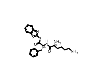 NCCCC[C@@H](N)C(=O)N[C@H](Cc1ccccc1)C(=O)Sc1nc2ccccc2s1